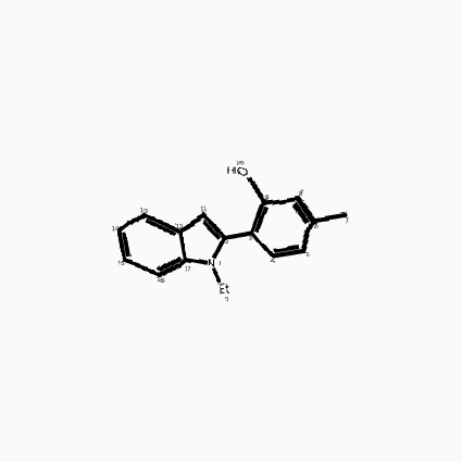 CCn1c(-c2ccc(C)cc2O)cc2ccccc21